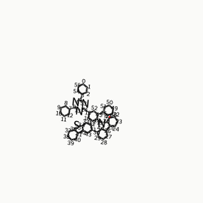 c1ccc(-c2nc(-c3ccccc3)nc(-c3ccc(-n4c5ccccc5c5cccc(-c6ccc7sc8ccccc8c7c6)c54)c(-c4ccccc4)c3)n2)cc1